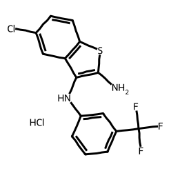 Cl.Nc1sc2ccc(Cl)cc2c1Nc1cccc(C(F)(F)F)c1